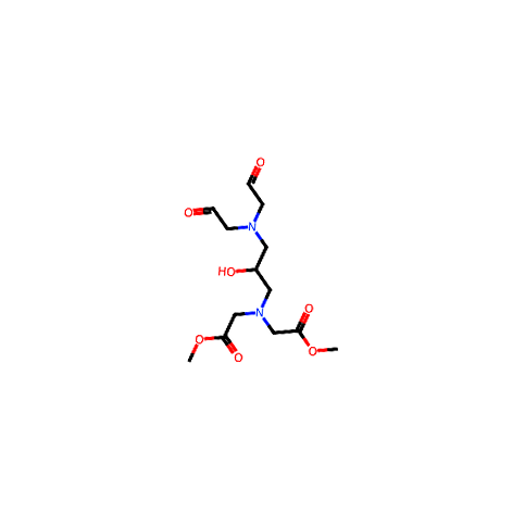 COC(=O)CN(CC(=O)OC)CC(O)CN(CC=O)CC=O